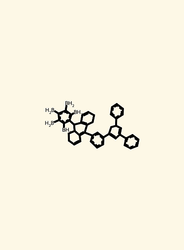 Bc1c(B)c(B)c(C2C3=C(CCC=C3)C(c3cccc(C4=CC(c5ccccc5)=CC(c5ccccc5)C4)c3)=C3C=CCCC32)c(B)c1B